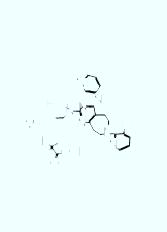 COCCN(C)c1nc2c(c(Nc3ccc(C(F)(F)F)nc3)n1)CCN(c1ncccc1C(F)(F)F)CC2.O=C(O)C(F)(F)F